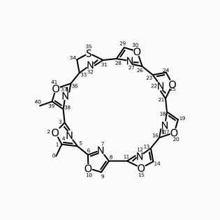 Cc1oc2nc1-c1nc(co1)-c1nc(co1)-c1nc(co1)-c1nc(co1)-c1nc(co1)C1=NC(CS1)c1nc-2c(C)o1